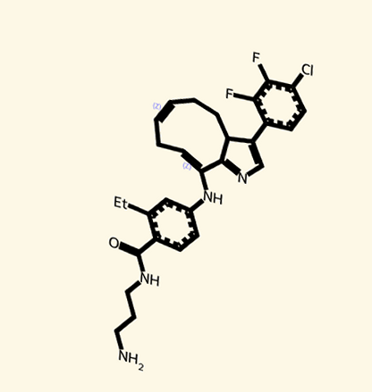 CCc1cc(N/C2=C\C/C=C\CCC3C(c4ccc(Cl)c(F)c4F)=CN=C23)ccc1C(=O)NCCCN